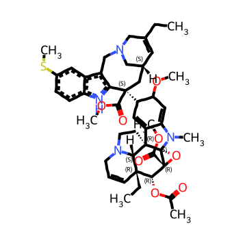 CCC1=C[C@H]2CN(C1)Cc1c([nH]c3ccc(SC)cc13)[C@@](C(=O)OC)(C1C=C3C(=CC1OC)N(C)[C@@]14O[C@]1(C(=O)OC)[C@H](OC(C)=O)[C@]1(CC)C=CCN5CC[C@]34[C@@H]51)C2